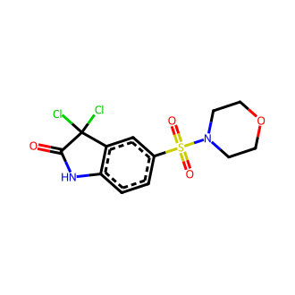 O=C1Nc2ccc(S(=O)(=O)N3CCOCC3)cc2C1(Cl)Cl